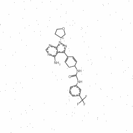 Nc1ncnc2c1c(C1=CCC(NC(=O)Nc3cccc(C(F)(F)F)c3)C=C1)nn2[C@@H]1CCOC1